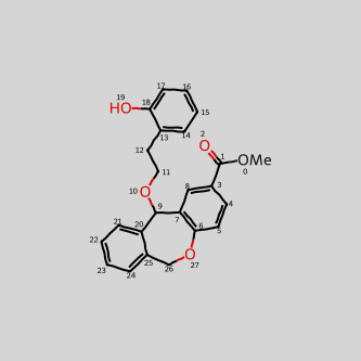 COC(=O)c1ccc2c(c1)C(OCCc1ccccc1O)c1ccccc1CO2